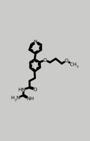 COCCCOc1cc(CCC(=O)NC(=N)N)ccc1-c1ccncc1